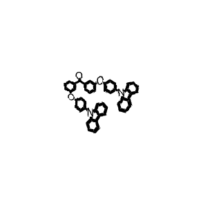 O=C(c1cccc(Oc2ccc(-n3c4ccccc4c4ccccc43)cc2)c1)c1cccc(Oc2ccc(-n3c4ccccc4c4ccccc43)cc2)c1